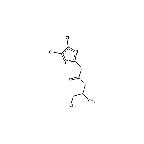 CCC(C)SC(=S)Sc1nc(Cl)c(Cl)s1